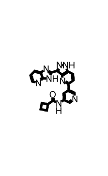 O=C(Nc1cncc(-c2ccc3[nH]nc(-c4nc5cccnc5[nH]4)c3n2)c1)C1CCC1